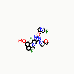 CCc1c(F)ccc2cc(O)cc(-c3ncc4c(N5CCC[C@]6(CCO6)C5)nc(OC[C@@]56CCCN5C[C@H](F)C6)nc4c3F)c12